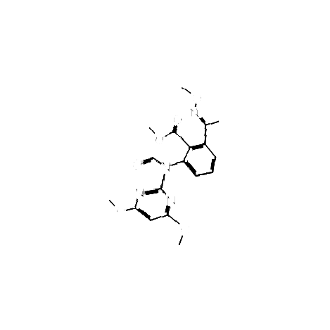 CON=C(C)c1cccc(N(C=O)c2nc(OC)cc(OC)n2)c1C(=O)OC